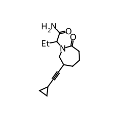 CCC(C(N)=O)N1CC(C#CC2CC2)CCCC1=O